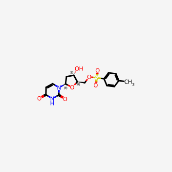 Cc1ccc(S(=O)(=O)OC[C@H]2O[C@@H](n3ccc(=O)[nH]c3=O)C[C@@H]2O)cc1